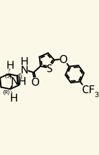 O=C(N[C@@H]1C[C@H]2CC[C@@H]1N2)c1ccc(Oc2ccc(C(F)(F)F)cc2)s1